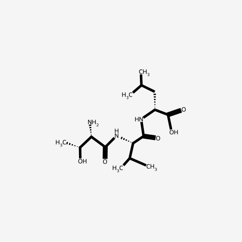 CC(C)C[C@@H](NC(=O)[C@@H](NC(=O)[C@@H](N)[C@@H](C)O)C(C)C)C(=O)O